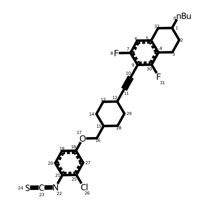 CCCCC1CCc2c(cc(F)c(C#CC3CCC(COc4ccc(N=C=S)c(Cl)c4)CC3)c2F)C1